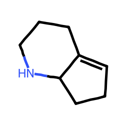 C1=C2CCCNC2CC1